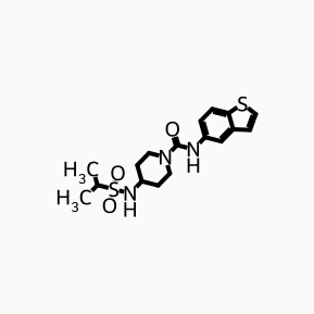 CC(C)S(=O)(=O)NC1CCN(C(=O)Nc2ccc3sccc3c2)CC1